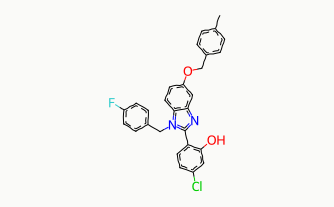 Cc1ccc(COc2ccc3c(c2)nc(-c2ccc(Cl)cc2O)n3Cc2ccc(F)cc2)cc1